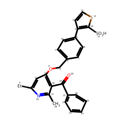 CCc1cc(OCc2ccc(-c3ccsc3S(=O)(=O)O)cc2)c(C(=O)c2ccccc2)c(C)n1